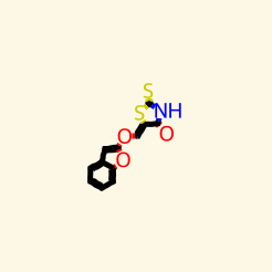 O=C1NC(=S)SC1=COc1cc2ccccc2o1